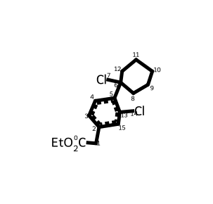 CCOC(=O)Cc1ccc(C2(Cl)CCCCC2)c(Cl)c1